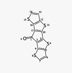 O=C1c2c(sc3ccsc23)-c2sc3ccsc3c21